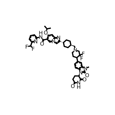 CC(C)Oc1cc2nc([C@H]3CC[C@H](CN4CCC(c5ccc6c(c5)n(C)c(=O)n6C5CCC(=O)NC5=O)C(F)(F)C4)CC3)cn2cc1C(=O)Nc1cccc(C(F)F)n1